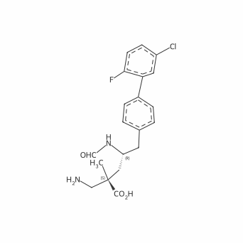 C[C@@](CN)(C[C@@H](Cc1ccc(-c2cc(Cl)ccc2F)cc1)NC=O)C(=O)O